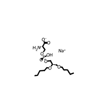 CCCCCOC[C@H](COP(=O)(O)OC[C@H](N)C(=O)[O-])OCCCCC.[Na+]